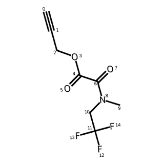 C#CCOC(=O)C(=O)N(C)CC(F)(F)F